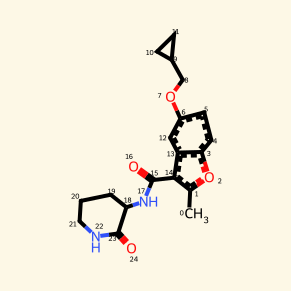 Cc1oc2ccc(OCC3CC3)cc2c1C(=O)NC1CCCNC1=O